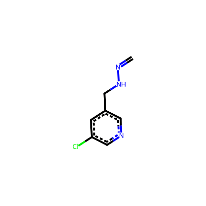 C=NNCc1cncc(Cl)c1